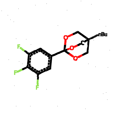 CCCCC12COC(c3cc(F)c(F)c(F)c3)(OC1)OC2